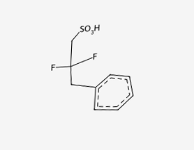 O=S(=O)(O)CC(F)(F)Cc1ccccc1